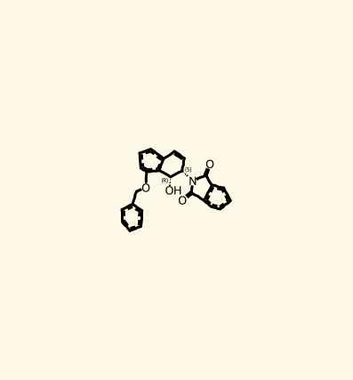 O=C1c2ccccc2C(=O)N1[C@H]1C=Cc2cccc(OCc3ccccc3)c2[C@H]1O